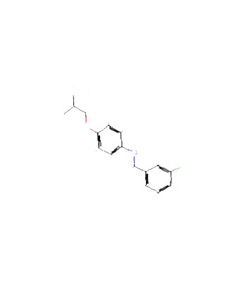 CC(COc1ccc(NCc2cccc(Cl)c2)cc1)C(=O)O